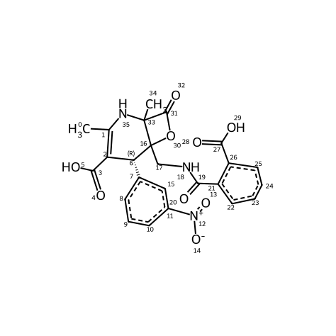 CC1=C(C(=O)O)[C@@H](c2cccc([N+](=O)[O-])c2)C2(CNC(=O)c3ccccc3C(=O)O)OC(=O)C2(C)N1